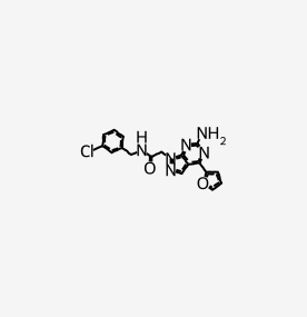 Nc1nc(-c2ccco2)c2cnn(CC(=O)NCc3cccc(Cl)c3)c2n1